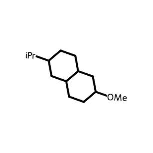 COC1CCC2CC(C(C)C)CCC2C1